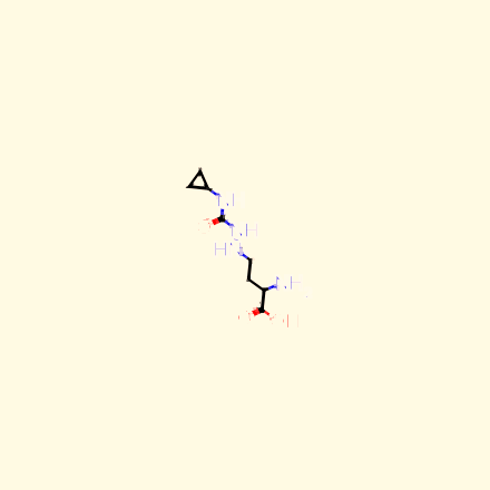 NC(CCNNC(=O)NC1CC1)C(=O)O